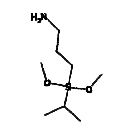 CO[Si](CCCN)(OC)C(C)C